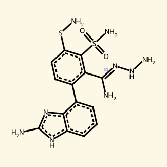 NN/N=C(\N)c1c(-c2cccc3[nH]c(N)nc23)ccc(SN)c1S(N)(=O)=O